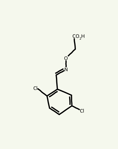 O=C(O)CON=Cc1cc(Cl)ccc1Cl